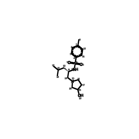 Cc1ccc(S(=O)(=O)N[C@@H](CC(C)C)CN2CCC(O)C2)cc1